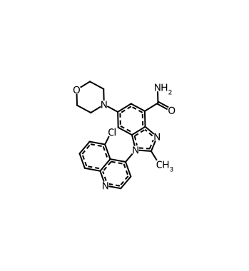 Cc1nc2c(C(N)=O)cc(N3CCOCC3)cc2n1-c1ccnc2cccc(Cl)c12